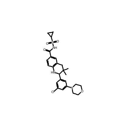 CC1(C)Cc2cc(C(=O)NS(=O)(=O)C3CC3)ccc2NC1c1cc(Cl)cc(N2CCOCC2)c1